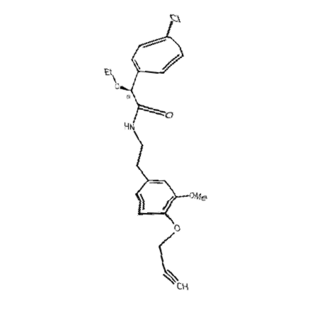 C#CCOc1ccc(CCNC(=O)[C@@H](OCC)c2ccc(Cl)cc2)cc1OC